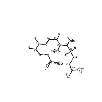 CCCCC(=O)CCC(C)C(C)CCC(C)C(CCC)C(CCCC)C(C)(C)CCC(O)CC